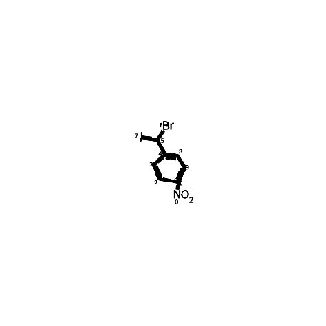 O=[N+]([O-])c1ccc(C(Br)I)cc1